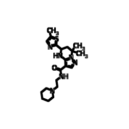 Cc1cnc(C2CC(C)(C)n3ncc(C(=O)NCCN4CCCCC4)c3N2)s1